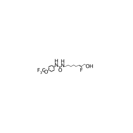 O=C(NCCCCCC=C(F)CO)Nc1ccc(OC(F)(F)F)cc1